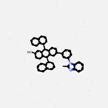 Cc1nc2ccccc2n1-c1cccc(-c2ccc3c(-c4cccc5ccccc45)c4cc(C#N)ccc4c(-c4cccc5ccccc45)c3c2)c1